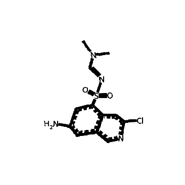 CN(C)/C=N/S(=O)(=O)c1cc(N)cc2cnc(Cl)cc12